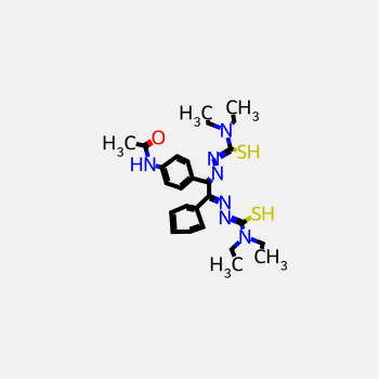 CCN(CC)/C(S)=N/N=C(/C(=N/N=C(\S)N(CC)CC)c1ccc(NC(C)=O)cc1)c1ccccc1